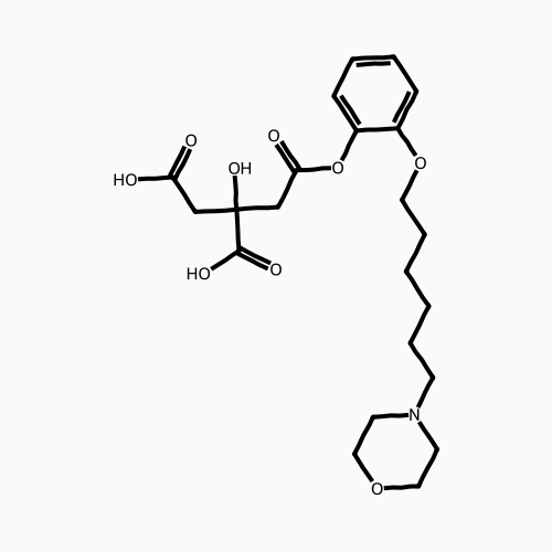 O=C(O)CC(O)(CC(=O)Oc1ccccc1OCCCCCCN1CCOCC1)C(=O)O